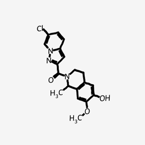 COc1cc2c(cc1O)CCN(C(=O)c1cc3ccc(Cl)cn3n1)C2C